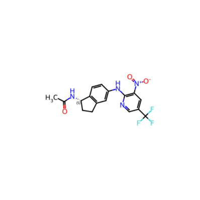 CC(=O)N[C@H]1CCc2cc(Nc3ncc(C(F)(F)F)cc3[N+](=O)[O-])ccc21